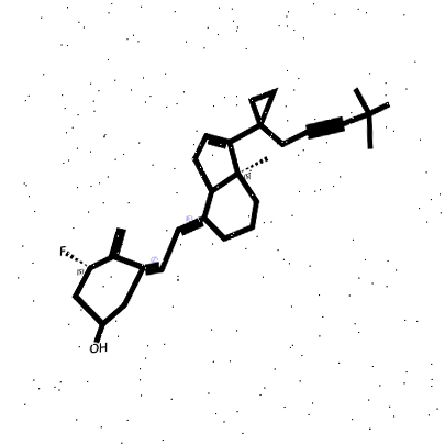 C=C1/C(=C\C=C2/CCC[C@]3(C)C(C4(CC#CC(C)(C)C)CC4)=CCC23)CC(O)C[C@@H]1F